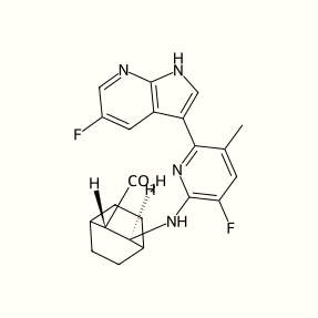 Cc1cc(F)c(N[C@H]2C3CCC(CC3)[C@@H]2C(=O)O)nc1-c1c[nH]c2ncc(F)cc12